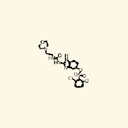 O=C(NCCN1CCOCC1)Nc1nc2cc(OS(=O)(=O)c3c(Cl)cccc3Cl)ccc2[nH]1